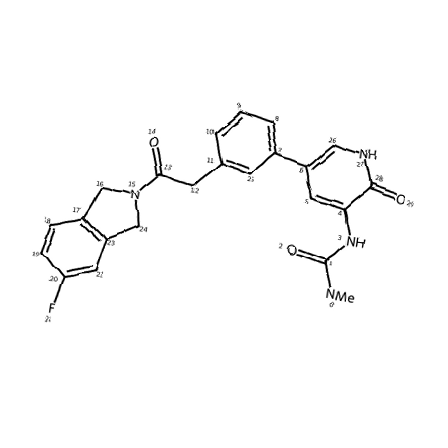 CNC(=O)Nc1cc(-c2cccc(CC(=O)N3Cc4ccc(F)cc4C3)c2)c[nH]c1=O